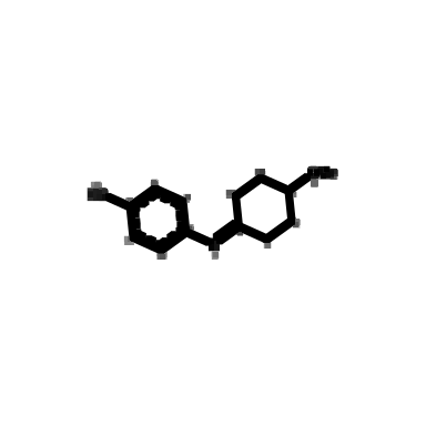 COC1CCC(=Nc2ccc(O)cc2)CC1